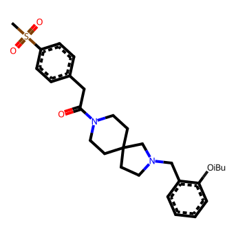 CC(C)COc1ccccc1CN1CCC2(CCN(C(=O)Cc3ccc(S(C)(=O)=O)cc3)CC2)C1